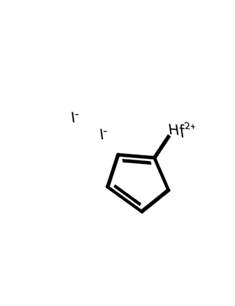 [Hf+2][C]1=CC=CC1.[I-].[I-]